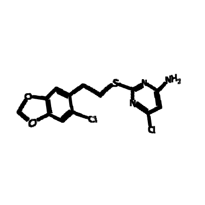 Nc1cc(Cl)nc(SCCc2cc3c(cc2Cl)OCO3)n1